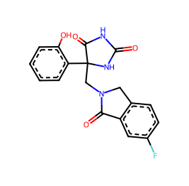 O=C1NC(=O)C(CN2Cc3ccc(F)cc3C2=O)(c2ccccc2O)N1